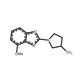 COc1cccc2oc(N3CCC(C)C3)nc12